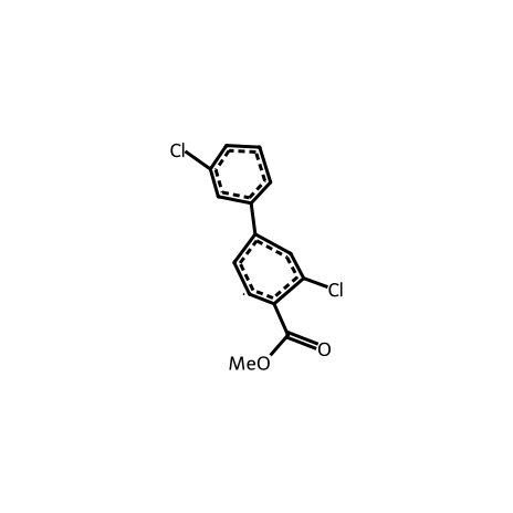 COC(=O)c1[c]cc(-c2cccc(Cl)c2)cc1Cl